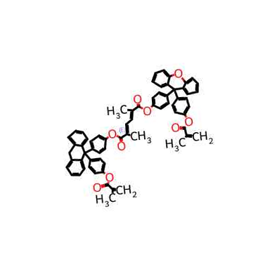 C=C(C)C(=O)Oc1ccc(C2(c3ccc(OC(=O)/C(C)=C/C=C(C)C(=O)Oc4ccc(C5(c6ccc(OC(=O)C(=C)C)cc6)c6ccccc6Oc6ccccc65)cc4)cc3)c3ccccc3Cc3ccccc32)cc1